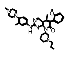 CCCN1CCC[C@H](n2c(=O)c(-c3ccccc3OC)c(C)c3cnc(Nc4ccc(N5CCN(C)CC5)c(C)c4)nc32)C1